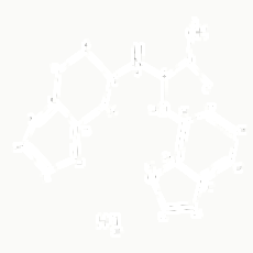 CC(O)C(NC1CCc2ccccc2C1)Oc1cccc2ccoc12.Cl